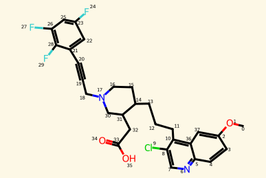 COc1ccc2ncc(Cl)c(CCCC3CCN(CC#Cc4cc(F)cc(F)c4F)CC3CC(=O)O)c2c1